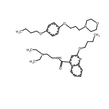 CCCCOc1cc(C(=O)NCCN(CC)CC)c2ccccc2n1.CCCCOc1ccc(OCCCN2CCOCC2)cc1